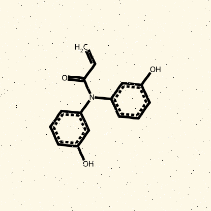 C=CC(=O)N(c1cccc(O)c1)c1cccc(O)c1